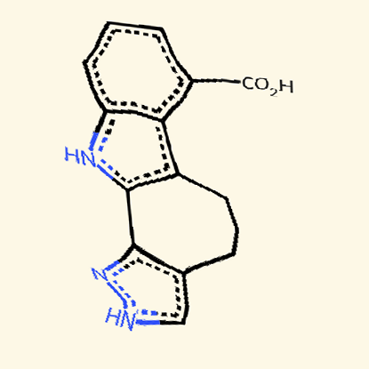 O=C(O)c1cccc2[nH]c3c(c12)CCc1c[nH]nc1-3